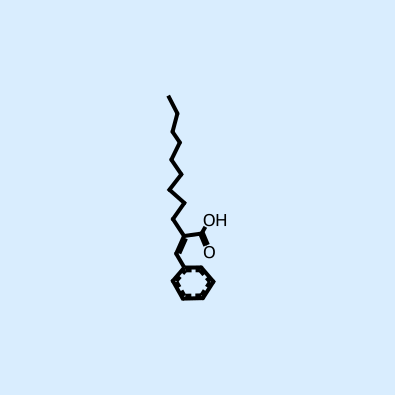 CCCCCCCCCC(=Cc1ccccc1)C(=O)O